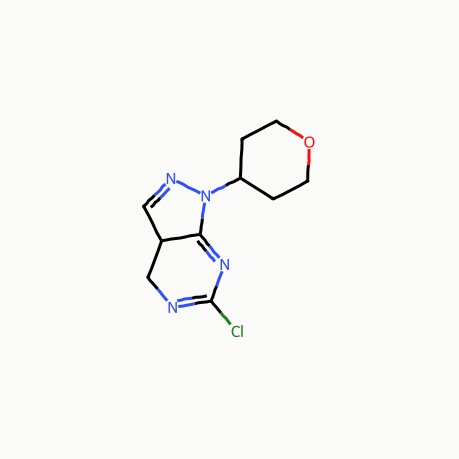 ClC1=NCC2C=NN(C3CCOCC3)C2=N1